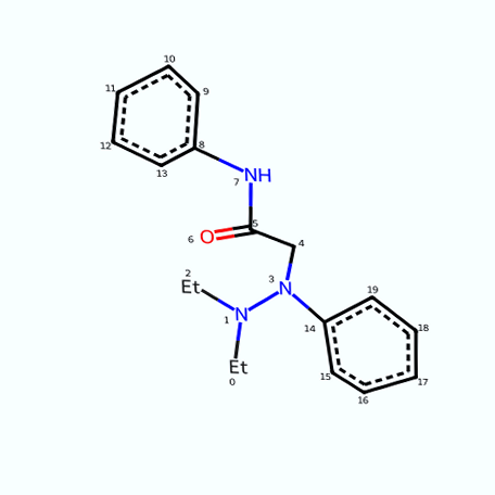 CCN(CC)N(CC(=O)Nc1ccccc1)c1ccccc1